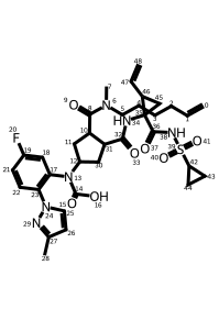 C=CCCCCN(C)C(=O)C1CC(N(C(=O)O)c2cc(F)ccc2-n2ccc(C)n2)CC1C(=O)NC1(C(=O)NS(=O)(=O)C2CC2)CC1C=C